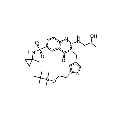 CC(O)CNc1nc2ccc(S(=O)(=O)NC3(C)CC3)cc2c(=O)n1Cc1cnn(CCO[Si](C)(C)C(C)(C)C)c1